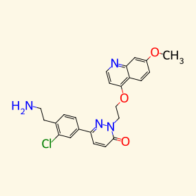 COc1ccc2c(OCCn3nc(-c4ccc(CCN)c(Cl)c4)ccc3=O)ccnc2c1